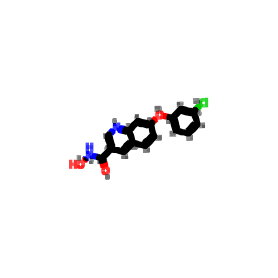 O=C(NO)c1cnc2cc(Oc3cccc(Cl)c3)ccc2c1